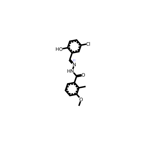 COc1cccc(C(=O)N/N=C/c2cc(Cl)ccc2O)c1C